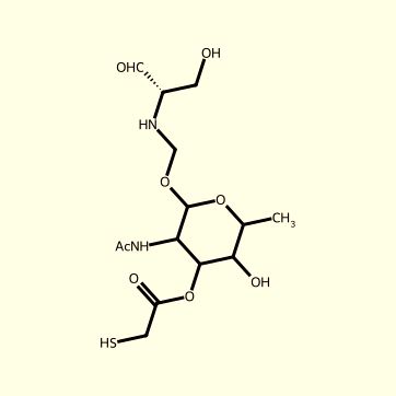 CC(=O)NC1C(OCN[C@H](C=O)CO)OC(C)C(O)C1OC(=O)CS